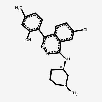 Cc1ccc(-c2nnc(N[C@@H]3CCCN(C)C3)c3cc(Cl)ccc23)c(O)c1